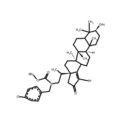 CC(=O)O[C@H]1CCC2(C)C(CC[C@]3(C)[C@@H]2CCC2C4=C(C(C)C)C(=O)C[C@]4(C(C)CN(Cc4ccc(Cl)cc4)C(=O)OC(C)(C)C)CC[C@]23C)C1(C)C